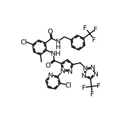 Cc1cc(Cl)cc(C(=O)NCc2cccc(C(F)(F)F)c2)c1NC(=O)c1cc(Cn2nnc(C(F)(F)F)n2)nn1-c1ncccc1Cl